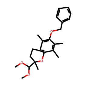 COC(OC)C1(C)CCc2c(C)c(OCc3ccccc3)c(C)c(C)c2O1